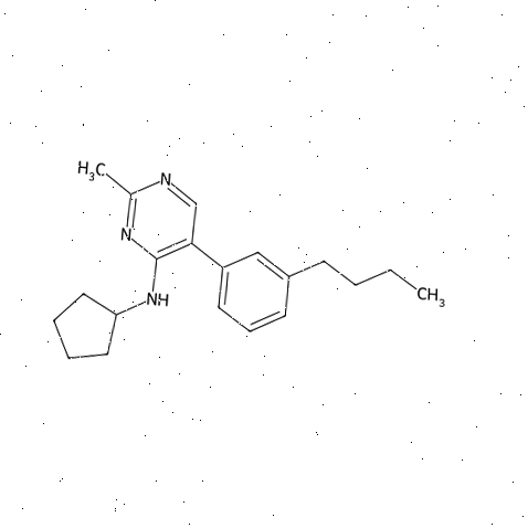 CCCCc1cccc(-c2cnc(C)nc2NC2CCCC2)c1